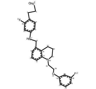 O=CCCc1ccc(NCc2cccc3c2CCCN3CCOc2cccc(F)c2)cc1F